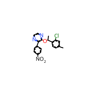 Cc1ccc(C(C)Oc2nccnc2-c2ccc([N+](=O)[O-])cc2)c(Cl)c1